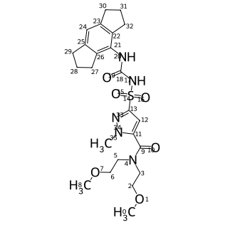 COCCN(CCOC)C(=O)c1cc(S(=O)(=O)NC(=O)Nc2c3c(cc4c2CCC4)CCC3)nn1C